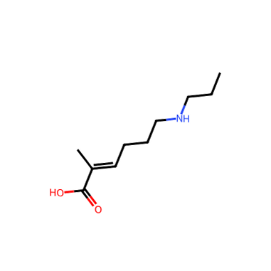 CCCNCCC/C=C(\C)C(=O)O